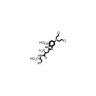 CC(C)C[C@H](NC(=O)[C@@H](N)Cc1nc2cc(N(CCCl)CCCl)ccc2n1C)C(=O)O.Cl.Cl